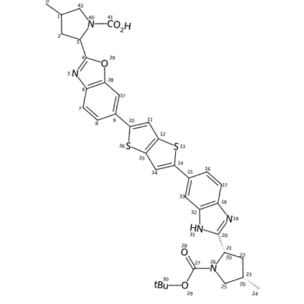 CC1CC(c2nc3ccc(-c4cc5sc(-c6ccc7nc([C@@H]8C[C@H](C)CN8C(=O)OC(C)(C)C)[nH]c7c6)cc5s4)cc3o2)N(C(=O)O)C1